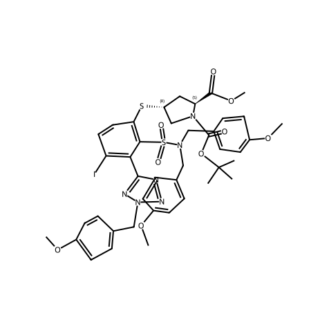 COC(=O)[C@@H]1C[C@@H](Sc2ccc(I)c(-c3nnn(Cc4ccc(OC)cc4)n3)c2S(=O)(=O)N(Cc2ccc(OC)cc2)Cc2ccc(OC)cc2)CN1C(=O)OC(C)(C)C